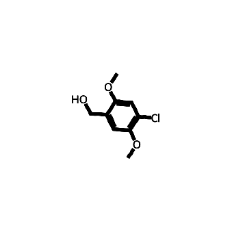 COc1cc(CO)c(OC)cc1Cl